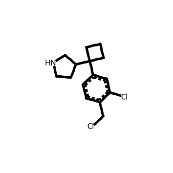 ClCc1ccc(C2(C3CCNC3)CCC2)cc1Cl